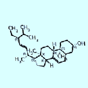 CC[C@H](C=C[C@@H](C)[C@H]1CC[C@H]2C3=CCC4C[C@@H](O)CC[C@]4(C)[C@H]3CC[C@]12C)C(C)C